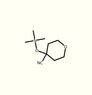 C[Si](C)(C)OC1(C#N)CCOCC1